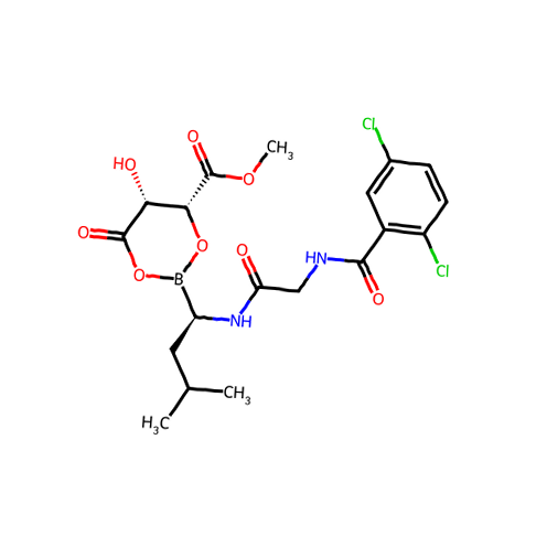 COC(=O)[C@@H]1OB([C@H](CC(C)C)NC(=O)CNC(=O)c2cc(Cl)ccc2Cl)OC(=O)[C@@H]1O